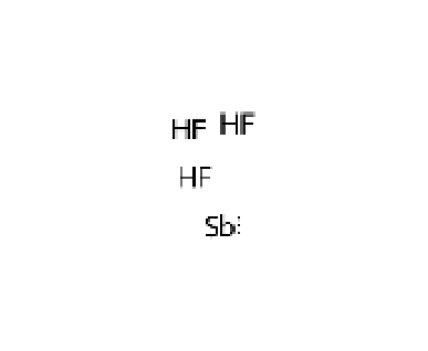 F.F.F.[Sb]